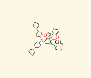 C=C/C=C\C1=C(C)Oc2ccccc2[Si]12c1ccccc1Oc1c(N(c3ccc(-c4ccccc4)cc3)c3ccc(-c4ccccc4)cc3)cccc12